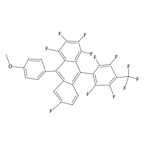 COc1ccc(-c2c3cc(F)ccc3c(-c3c(F)c(F)c(C(F)(F)F)c(F)c3F)c3c(F)c(F)c(F)c(F)c23)cc1